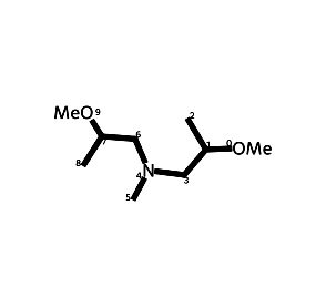 COC(C)CN(C)CC(C)OC